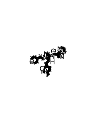 C=C(/C=C\C(Cl)=C/Cc1c(NC(=O)c2cnn3cccnc23)cnn1CCC1CCOCC1)OC